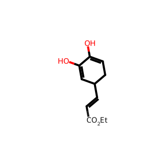 CCOC(=O)C=CC1C=C(O)C(O)=CC1